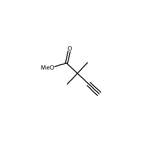 C#CC(C)(C)C(=O)OC